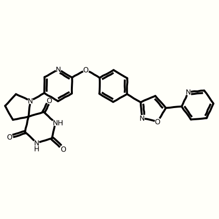 O=C1NC(=O)C2(CCCN2c2ccc(Oc3ccc(-c4cc(-c5ccccn5)on4)cc3)nc2)C(=O)N1